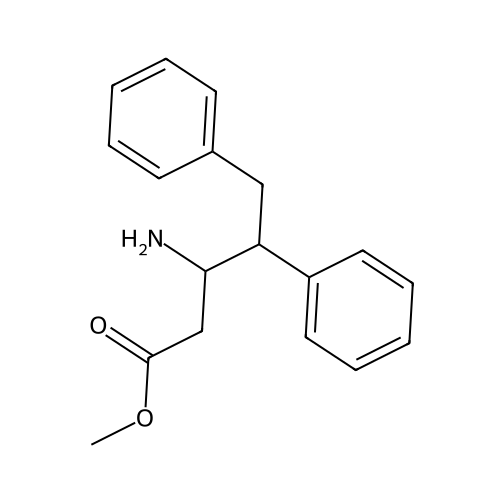 COC(=O)CC(N)C(Cc1ccccc1)c1ccccc1